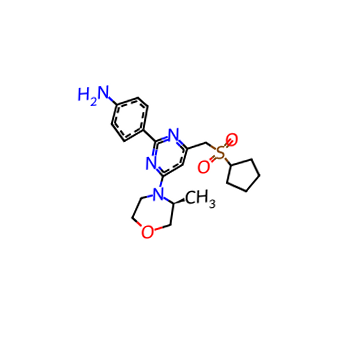 C[C@H]1COCCN1c1cc(CS(=O)(=O)C2CCCC2)nc(-c2ccc(N)cc2)n1